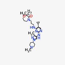 Cc1nn(C2CCN(C)CC2)cc1Nc1ncc(C2CC2)c(NCCCN2CCCOC(C)(C)C2=O)n1